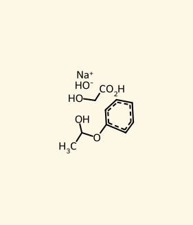 CC(O)Oc1ccccc1.O=C(O)CO.[Na+].[OH-]